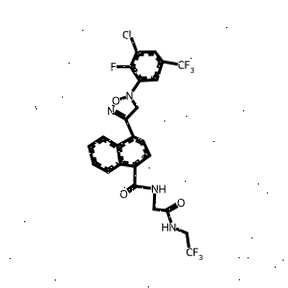 O=C(CNC(=O)c1ccc(C2=NON(c3cc(C(F)(F)F)cc(Cl)c3F)C2)c2ccccc12)NCC(F)(F)F